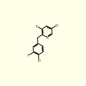 Fc1cc(Cc2ncc(Cl)cc2F)ccc1Cl